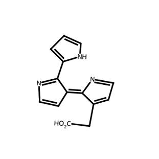 O=C(O)CC1=CC=NC1=C1C=CN=C1c1ccc[nH]1